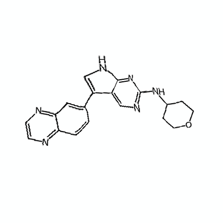 c1cnc2cc(-c3c[nH]c4nc(NC5CCOCC5)ncc34)ccc2n1